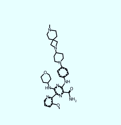 COc1cccnc1-c1nc(C(N)=O)c(Nc2ccc(N3CCC(N4CC5(CCN(C)CC5)C4)CC3)cc2)nc1NC1CCOCC1